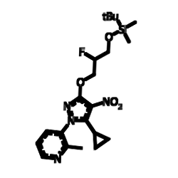 Cc1ncccc1-n1nc(OCC(F)CO[Si](C)(C)C(C)(C)C)c([N+](=O)[O-])c1C1CC1